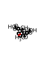 CC(=O)C(c1ccc(S(=O)(=O)O)cc1)C(C(=O)C(c1ccccc1)C(C(C)=O)c1ccc(S(=O)(=O)O)cc1)c1ccccc1